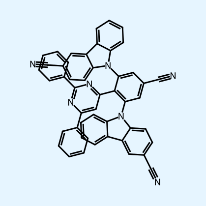 N#Cc1cc(-n2c3ccccc3c3cc(C#N)ccc32)c(-c2cc(-c3ccccc3)nc(-c3ccccc3)n2)c(-n2c3ccccc3c3cc(C#N)ccc32)c1